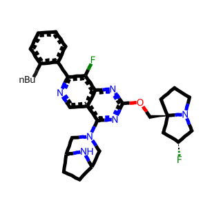 CCCCc1ccccc1-c1ncc2c(N3CC4CCC(C3)N4)nc(OC[C@@]34CCCN3C[C@H](F)C4)nc2c1F